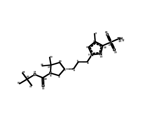 Cc1cn(CCC[C@@H]2CN(C(=O)OC(C)(C)C)C(C)(C)C2)nc1S(N)(=O)=O